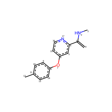 C=C(NC)c1cc(Oc2ccc(C)cc2)ccn1